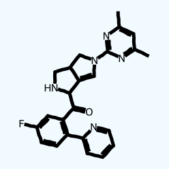 Cc1cc(C)nc(N2C=C3C(CNC3C(=O)c3cc(F)ccc3-c3ccccn3)C2)n1